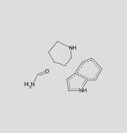 C1CCNCC1.NC=O.c1ccc2[nH]ccc2c1